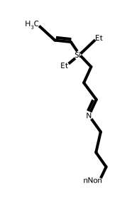 CC=C[Si](CC)(CC)CCC=NCCCCCCCCCCCC